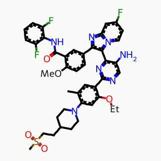 CCOc1cc(N2CCC(CCS(C)(=O)=O)CC2)c(C)cc1-c1ncc(N)c(-c2c(-c3ccc(OC)c(C(=O)Nc4c(F)cccc4F)c3)nc3cc(F)ccn23)n1